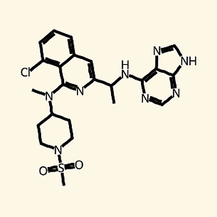 CC(Nc1ncnc2[nH]cnc12)c1cc2cccc(Cl)c2c(N(C)C2CCN(S(C)(=O)=O)CC2)n1